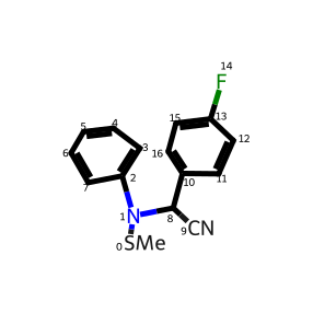 CSN(c1ccccc1)C(C#N)c1ccc(F)cc1